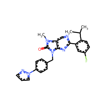 CC(C)c1ccc(F)cc1-c1ncc2c(n1)n(Cc1ccc(-n3cccn3)cc1)c(=O)n2C